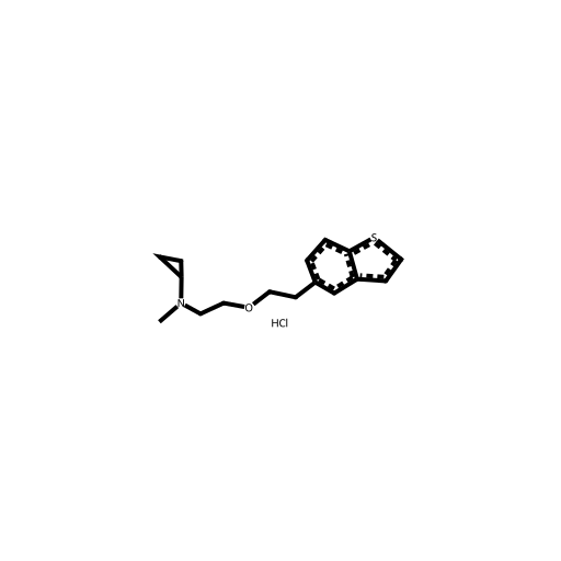 CN(CCOCCc1ccc2sccc2c1)C1CC1.Cl